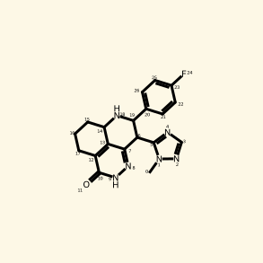 Cn1ncnc1C1c2n[nH]c(=O)c3c2C(CCC3)NC1c1ccc(F)cc1